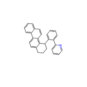 c1ccc(-c2ccccc2C2CCCc3ccc4c(ccc5ccccc54)c32)nc1